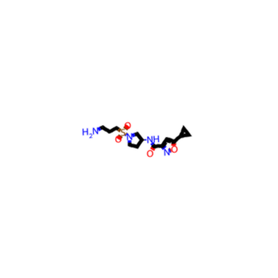 NCCCS(=O)(=O)N1CC[C@@H](NC(=O)c2cc(C3CC3)on2)C1